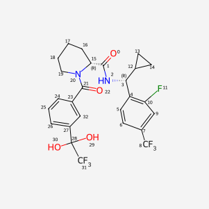 O=C(N[C@@H](c1ccc(C(F)(F)F)cc1F)C1CC1)[C@H]1CCCCN1C(=O)c1cccc(C(O)(O)C(F)(F)F)c1